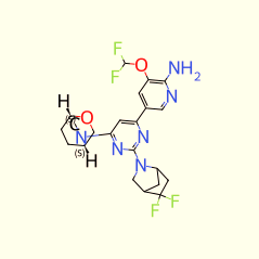 Nc1ncc(-c2cc(N3C[C@@H]4CC[C@H]3CO4)nc(N3CC4CC3CC4(F)F)n2)cc1OC(F)F